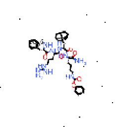 N=C(N)NCCC[C@@H](NC(=O)[C@H](Cc1ccccc1)NC(=O)O)C(=O)N[C@@H](CC12CC3CC(CC(C3)C1)C2)C(=O)N[C@@H](CCCCNC(=O)Oc1ccccc1)C(N)=O